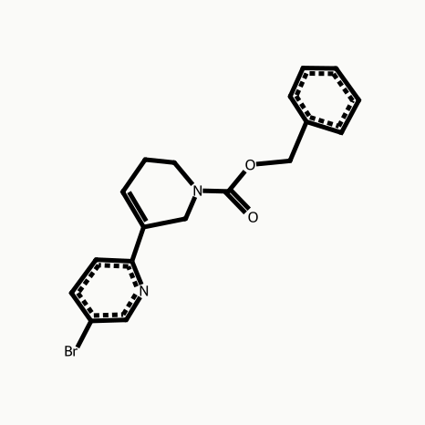 O=C(OCc1ccccc1)N1CCC=C(c2ccc(Br)cn2)C1